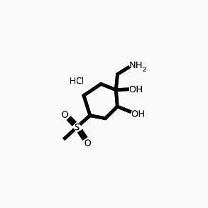 CS(=O)(=O)C1CCC(O)(CN)C(O)C1.Cl